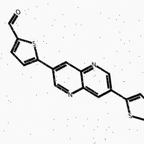 COc1ccc(-c2cnc3cc(-c4ccc(C=O)s4)cnc3c2)s1